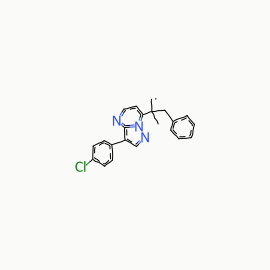 [CH2]C(C)(Cc1ccccc1)c1ccnc2c(-c3ccc(Cl)cc3)cnn12